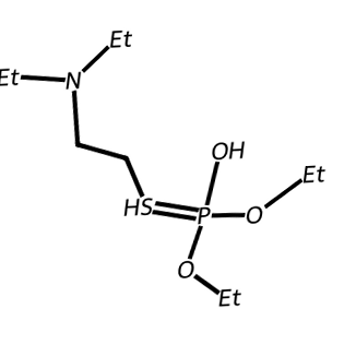 CCOP(O)(OCC)=[SH]CCN(CC)CC